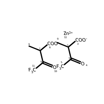 CC(C(=O)[O-])C(=O)C(F)(F)F.CC(C(=O)[O-])C(=O)C(F)(F)F.[Zn+2]